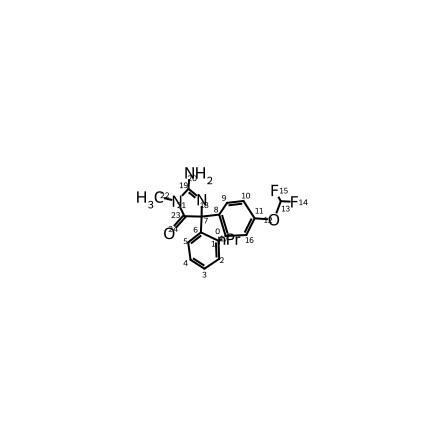 CCCc1ccccc1C1(c2ccc(OC(F)F)cc2)N=C(N)N(C)C1=O